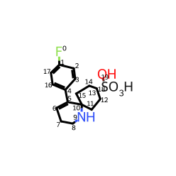 Fc1ccc(C2=CCCNC23CCCCC3)cc1.O=S(=O)(O)O